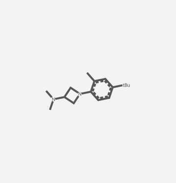 Cc1cc(C(C)(C)C)ccc1N1CC(N(C)C)C1